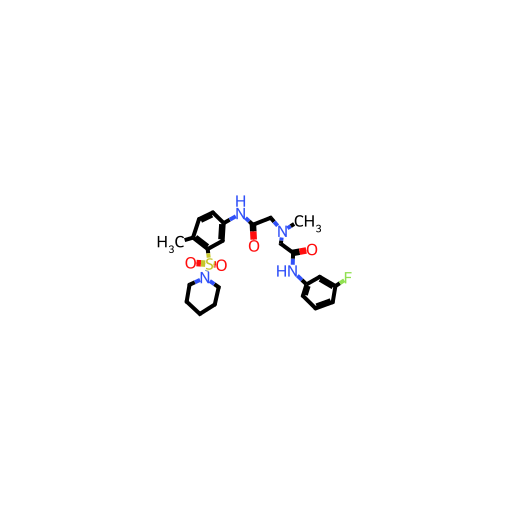 Cc1ccc(NC(=O)CN(C)CC(=O)Nc2cccc(F)c2)cc1S(=O)(=O)N1CCCCC1